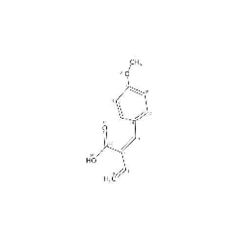 C=CC(=Cc1ccc(OC)cc1)C(=O)O